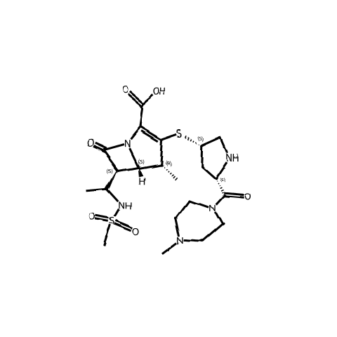 CC(NS(C)(=O)=O)[C@H]1C(=O)N2C(C(=O)O)=C(S[C@@H]3CN[C@H](C(=O)N4CCN(C)CC4)C3)[C@H](C)[C@H]12